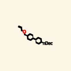 C=CCOC[C@H]1CC[C@H]([C@H]2CC[C@H](CCCCCCCCCC)CC2)CC1